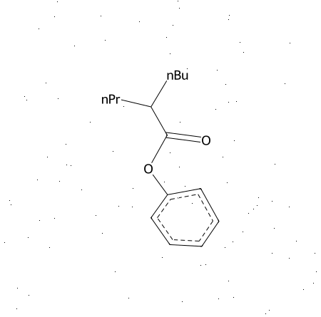 CCCCC(CCC)C(=O)Oc1ccccc1